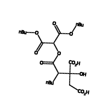 CCCCOC(=O)C(OC(=O)C(CCCC)C(O)(CC(=O)O)C(=O)O)C(=O)OCCCC